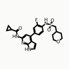 O=C(Nc1cc(-c2ccc(NS(=O)(=O)CC3CCOCC3)c(F)c2)c2cc[nH]c2n1)C1CC1